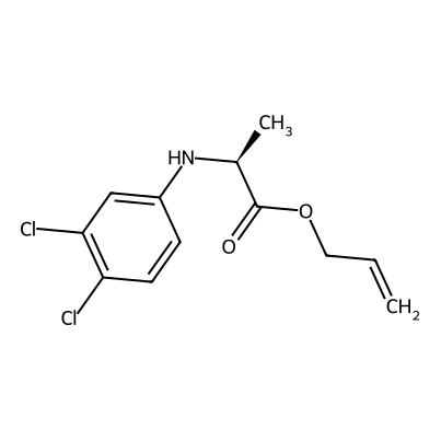 C=CCOC(=O)[C@H](C)Nc1ccc(Cl)c(Cl)c1